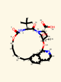 CC(C)(C)[C@@H]1NC(=O)OCCCCCc2ccc3ccnc(c3c2)O[C@@H]2C[C@@H](C(=O)O)N(C1=O)C2O